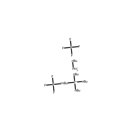 CCCC[P+](CCCC)(CCCC)CCCC.CCCC[PH3+].F[B-](F)(F)F.F[B-](F)(F)F